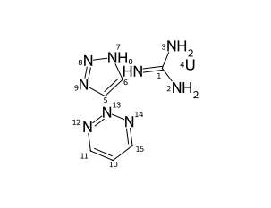 N=C(N)N.[U].c1c[nH]nn1.c1cnnnc1